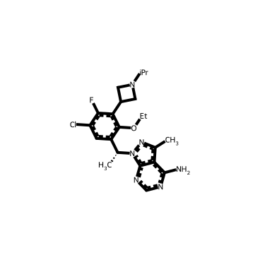 CCOc1c([C@@H](C)n2nc(C)c3c(N)ncnc32)cc(Cl)c(F)c1C1CN(C(C)C)C1